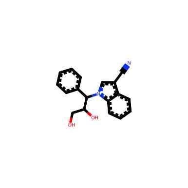 N#Cc1cn(C(c2ccccc2)C(O)CO)c2ccccc12